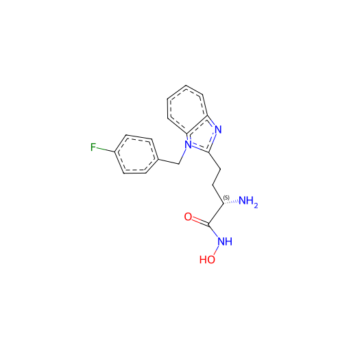 N[C@@H](CCc1nc2ccccc2n1Cc1ccc(F)cc1)C(=O)NO